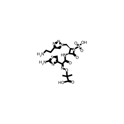 CC(C)(O/N=C(\C(=O)N[C@@H]1C(=O)N(S(=O)(=O)O)[C@@H]1Cn1cc(CCN)nn1)c1csc(N)n1)C(=O)O